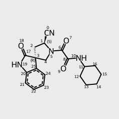 N#C[C@@H]1C[C@@]2(CN1C(=O)C(=O)NC1CCCCC1)C(=O)Nc1ccccc12